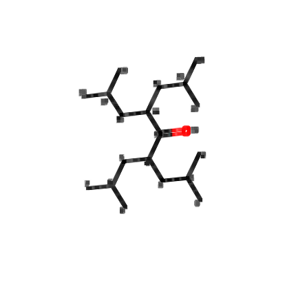 CC(C)CC(CC(C)C)C(=O)C(CC(C)C)CC(C)C